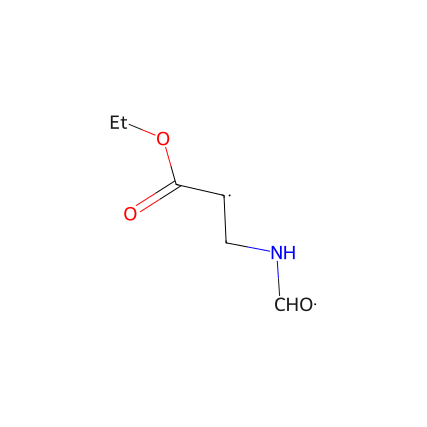 CCOC(=O)[CH]CN[C]=O